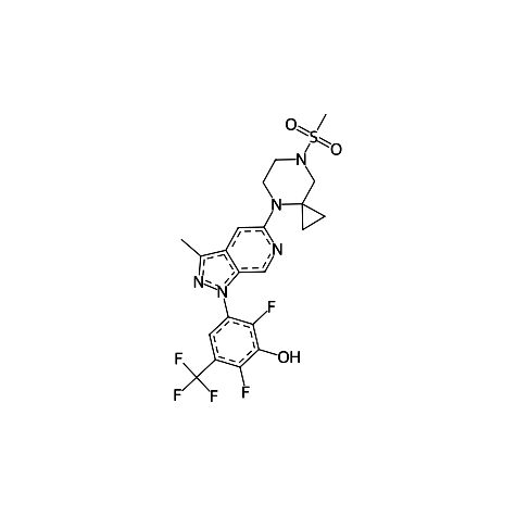 Cc1nn(-c2cc(C(F)(F)F)c(F)c(O)c2F)c2cnc(N3CCN(S(C)(=O)=O)CC34CC4)cc12